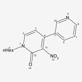 CCCCCCn1ccc(-c2cccnc2)c([N+](=O)[O-])c1=O